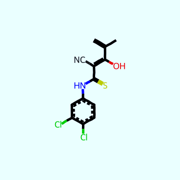 C=C(C)/C(O)=C(\C#N)C(=S)Nc1ccc(Cl)c(Cl)c1